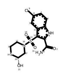 NC(=O)c1[nH]c2ccc(Cl)cc2c1S(=O)(=O)N1CCS[C@@H](O)C1